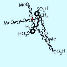 COCCOCCOCCOCC[N+]1=C(/C=C/C=C2/N(CCOCCOCCOCCOCCC(=O)O)c3ccc(S(=O)(=O)O)cc3C2(C)CCOCCOCCOCCOC)C(C)(CCOCCOCCOCCOC)c2cc(S(=O)(=O)O)ccc21